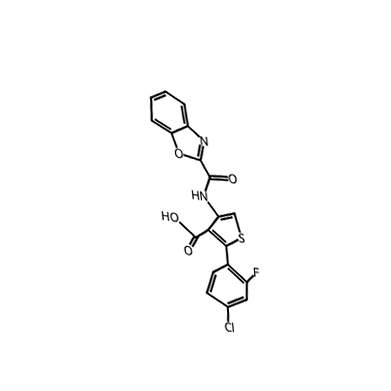 O=C(Nc1csc(-c2ccc(Cl)cc2F)c1C(=O)O)c1nc2ccccc2o1